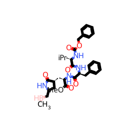 CBCC1C[C@@H](C[C@H](NC(=O)[C@H](Cc2ccccc2)NC(=O)[C@@H](NC(=O)OCc2ccccc2)C(C)C)C(=O)OC)C(=O)N1